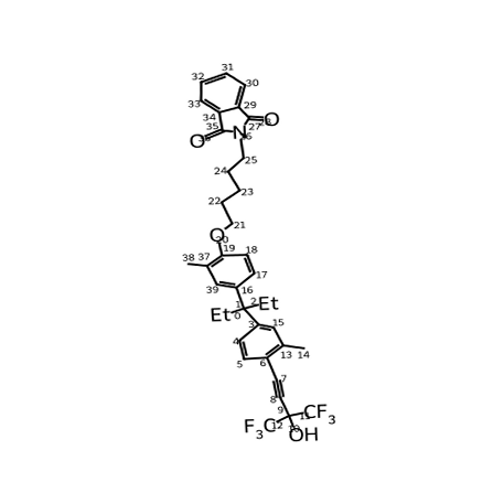 CCC(CC)(c1ccc(C#CC(O)(C(F)(F)F)C(F)(F)F)c(C)c1)c1ccc(OCCCCCN2C(=O)c3ccccc3C2=O)c(C)c1